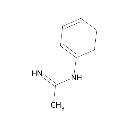 CC(=N)NC1=CC=CCC1